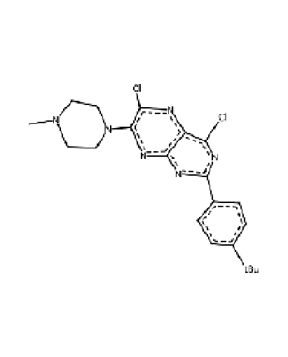 CN1CCN(c2nc3nc(-c4ccc(C(C)(C)C)cc4)nc(Cl)c3nc2Cl)CC1